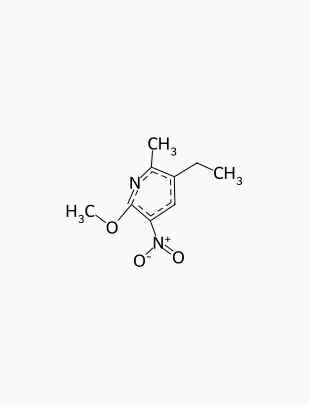 CCc1cc([N+](=O)[O-])c(OC)nc1C